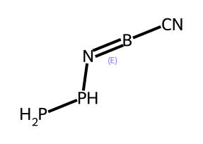 N#C/B=N/PP